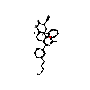 Cc1nc(-c2cccc(CCCO)c2)c2c(n1)[C@@]1(c3ccccc3)CC(C#N)C(=O)[C@@H](C)[C@@H]1CC2